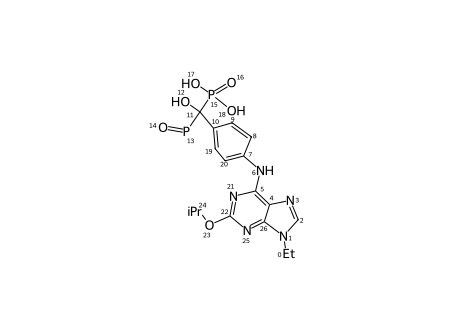 CCn1cnc2c(Nc3ccc(C(O)(P=O)P(=O)(O)O)cc3)nc(OC(C)C)nc21